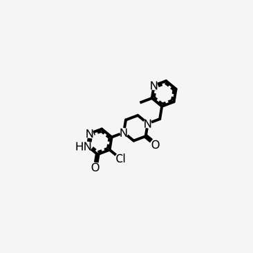 Cc1ncccc1CN1CCN(c2cn[nH]c(=O)c2Cl)CC1=O